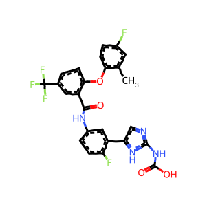 Cc1cc(F)ccc1Oc1ccc(C(F)(F)F)cc1C(=O)Nc1ccc(F)c(-c2cnc(NC(=O)O)[nH]2)c1